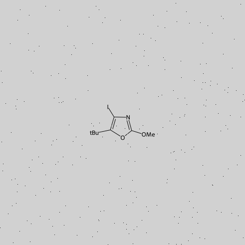 COc1nc(I)c(C(C)(C)C)o1